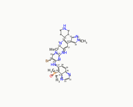 COc1nc(C2CCNCC2)c(-c2cnn(C)c2)cc1Nc1ncc(Br)c(Nc2ccc3nccnc3c2P(C)(C)=O)n1